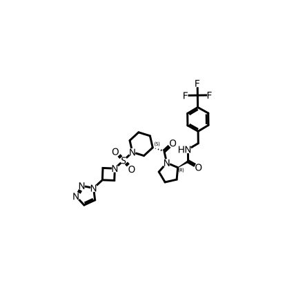 O=C(NCc1ccc(C(F)(F)F)cc1)[C@H]1CCCN1C(=O)[C@H]1CCCN(S(=O)(=O)N2CC(n3ccnn3)C2)C1